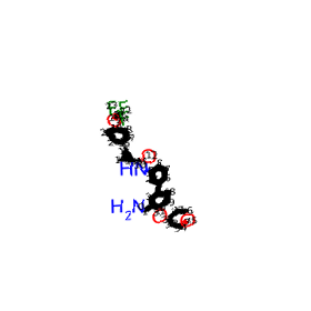 NCc1cc(-c2cccc(NC(=O)[C@H]3C[C@@H]3c3ccc(OC(F)(F)F)cc3)c2)ccc1OC1CCOCC1